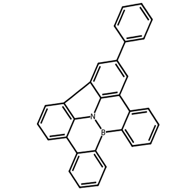 c1ccc(-c2cc3c4c(c2)c2cccc5c2n4B(c2ccccc2-5)c2ccccc2-3)cc1